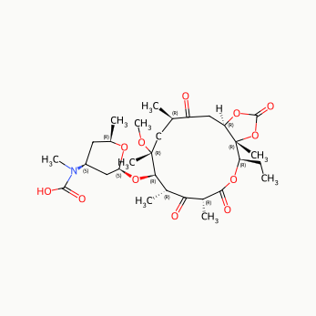 CC[C@H]1OC(=O)[C@H](C)C(=O)[C@H](C)[C@@H](O[C@H]2C[C@@H](N(C)C(=O)O)C[C@@H](C)O2)[C@](C)(OC)C[C@@H](C)C(=O)C[C@H]2OC(=O)O[C@@]21C